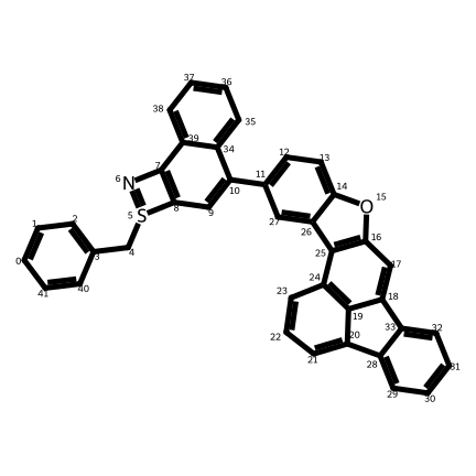 c1ccc(CS2=Nc3c2cc(-c2ccc4oc5cc6c7c(cccc7c5c4c2)-c2ccccc2-6)c2ccccc32)cc1